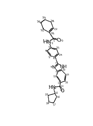 O=C(Nc1ccc(-c2nc3cc(C(=O)NC4CCCC4)ccc3[nH]2)cc1)C1=CCCCC1